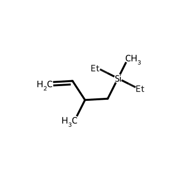 C=CC(C)C[Si](C)(CC)CC